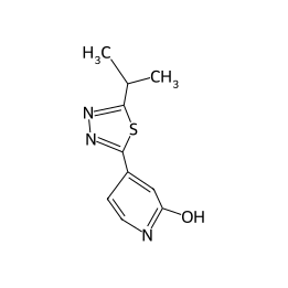 CC(C)c1nnc(-c2ccnc(O)c2)s1